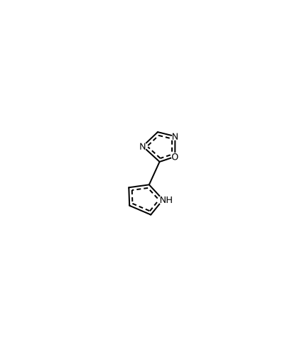 c1c[nH]c(-c2ncno2)c1